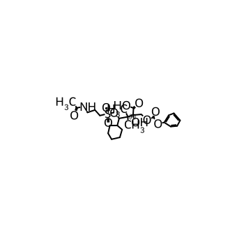 CC(=O)NCCCS(=O)(=O)OC(C1CCCCC1)C(C)(C)[C@@](O)(COC(=O)Oc1ccccc1)C(=O)O